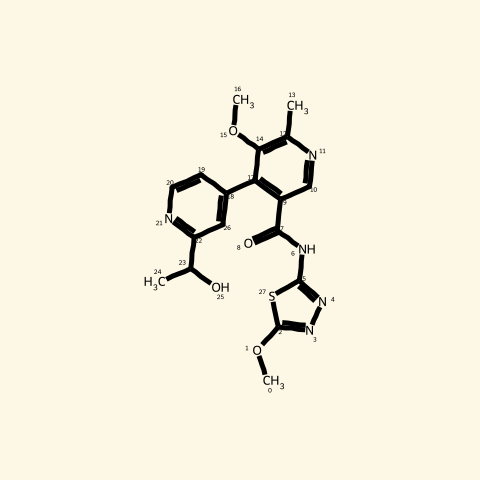 COc1nnc(NC(=O)c2cnc(C)c(OC)c2-c2ccnc(C(C)O)c2)s1